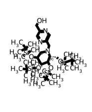 CC(C)(C)[Si](C)(C)OC[C@@H]1C(O[Si](C)(C)C(C)(C)C)C(O[Si](C)(C)C(C)(C)C)C(O[Si](C)(C)C(C)(C)C)CN1Cc1cnc(CO)cn1